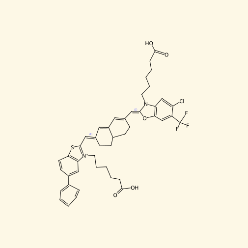 O=C(O)CCCCCN1/C(=C/C2=CC3=C/C(=C/c4sc5ccc(-c6ccccc6)cc5[n+]4CCCCCC(=O)O)CCC3CC2)Oc2cc(C(F)(F)F)c(Cl)cc21